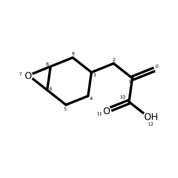 C=C(CC1CCC2OC2C1)C(=O)O